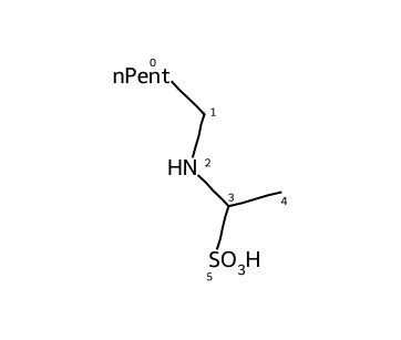 CCCCCCNC(C)S(=O)(=O)O